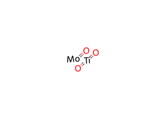 [O]=[Mo].[O]=[Ti]=[O]